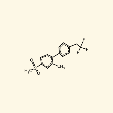 Cc1cc(S(C)(=O)=O)ccc1-c1ccc([CH]C(F)(F)F)cc1